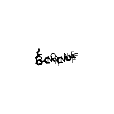 CCCc1cc2cccc(C3=CCN(C(=O)CN4[C@H](C)CN(c5ccc(C(F)(F)F)cn5)C[C@@H]4C)CC3)c2s1